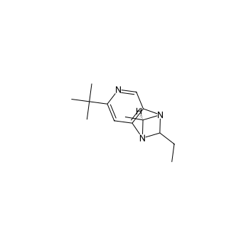 CCC1N2c3cnc(C(C)(C)C)cc3N1[C@H]2C